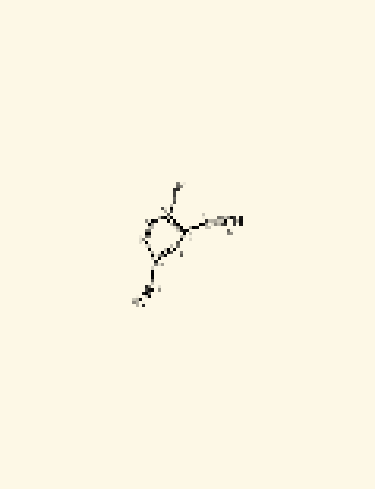 C#Cc1cc(C#N)ccc1F